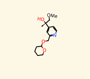 COC[C@@](C)(O)c1ccnc(COC2CCCCO2)c1